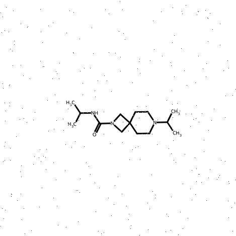 CC(C)NC(=O)N1CC2(CCN(C(C)C)CC2)C1